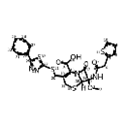 COC1(NC(=O)Cc2cccs2)C(=O)N2C(C(=O)O)=C(CSc3nnc(-c4ccccc4)s3)CS[C@H]21